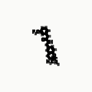 CC1(C)CCc2cc(CNC(=O)Cc3cccc(C(F)(F)F)c3)ccc2O1